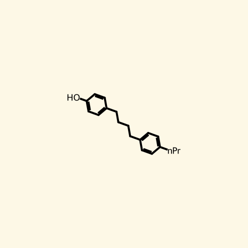 CCCc1ccc(CCCCc2ccc(O)cc2)cc1